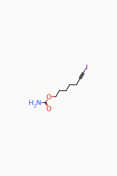 NC(=O)OCCCCCC#CI